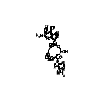 Nc1nc2c(ncn2C2OC3COP(=O)(O)O[C@H]4CC(OC4n4cnc5c(N)ncnc54)C(O)COC2C3O)c(=O)[nH]1